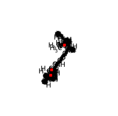 CC[C@H](NC)C(=O)N[C@@H]1C(=O)N2[C@@H](CC[C@@H]1CCNCc1ccccc1)CC[C@H]2C(=O)N[C@H](C(=O)NCCOCCOCCOCCNC(=O)CCc1cn(C[C@H]2CC[C@H]3CC[C@@H](C(=O)NC(c4ccccc4)c4ccccc4)N3C(=O)[C@H]2NC(=O)[C@H](C)NC)nn1)c1ccccc1